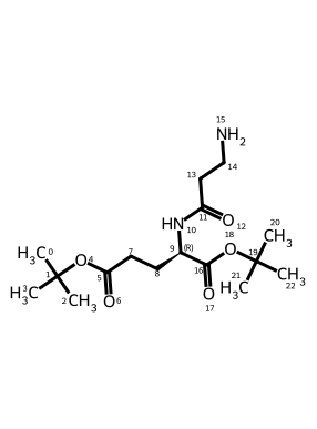 CC(C)(C)OC(=O)CC[C@@H](NC(=O)CCN)C(=O)OC(C)(C)C